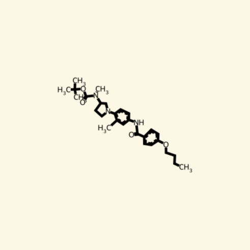 CCCCOc1ccc(C(=O)Nc2ccc(N3CCC(N(C)C(=O)OC(C)(C)C)C3)c(C)c2)cc1